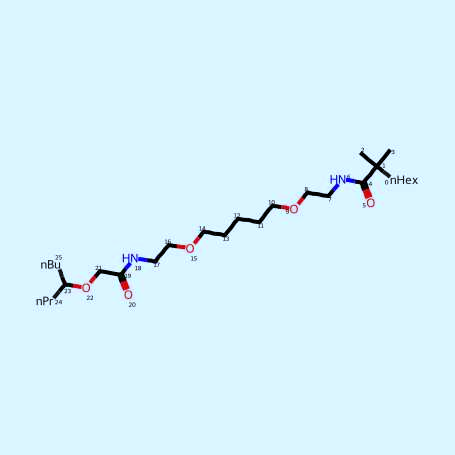 CCCCCCC(C)(C)C(=O)NCCOCCCCCOCCNC(=O)COC(CCC)CCCC